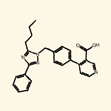 CCCCc1nc(-c2ccccc2)nn1Cc1ccc(-c2ccncc2C(=O)O)cc1